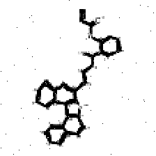 C=CC(=O)Oc1ccccc1C(I)CCCc1cc2ccccc2c2c1sc1ccc3ccccc3c12